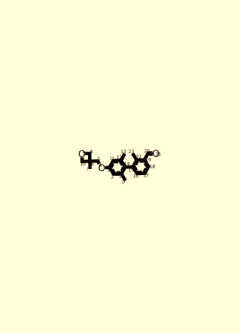 Cc1cc(OCC2(C)COC2)cc(C)c1-c1cccc(C=O)c1C